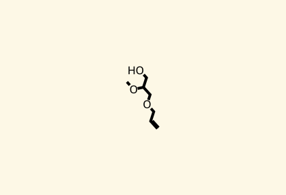 C=CCOCC(CO)OC